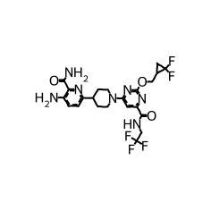 NC(=O)c1nc(C2CCN(c3cc(C(=O)NCC(F)(F)F)nc(OCC4CC4(F)F)n3)CC2)ccc1N